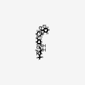 Cn1nc(C(C)(C)C)cc1NC(=O)Nc1ccc(CN2CCN(C(=O)c3c(F)cccc3Cl)CC2)cc1